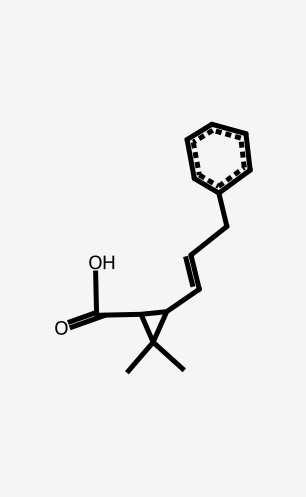 CC1(C)C(C=CCc2ccccc2)C1C(=O)O